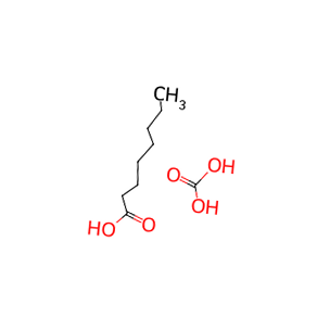 CCCCCCCC(=O)O.O=C(O)O